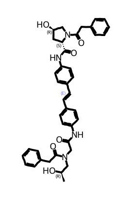 C[C@@H](O)CN(CC(=O)Nc1ccc(/C=C/c2ccc(NC(=O)[C@@H]3C[C@@H](O)CN3C(=O)Cc3ccccc3)cc2)cc1)C(=O)Cc1ccccc1